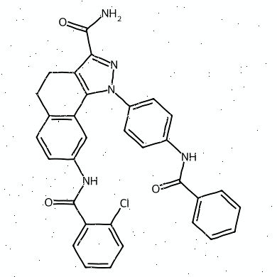 NC(=O)c1nn(-c2ccc(NC(=O)c3ccccc3)cc2)c2c1CCc1ccc(NC(=O)c3ccccc3Cl)cc1-2